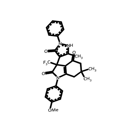 COc1ccc(N2C(=O)C(c3c(C)[nH]n(-c4ccccc4)c3=O)(C(F)(F)F)C3=C2CC(C)(C)CC3=O)cc1